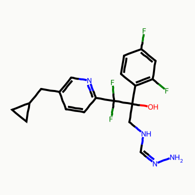 N/N=C\NCC(O)(c1ccc(F)cc1F)C(F)(F)c1ccc(CC2CC2)cn1